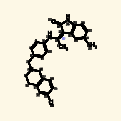 C/C(Nc1ccc(CN2CCc3cc(Cl)ccc3C2)cc1)=C1/C(=O)Nc2ccc(N)cc21